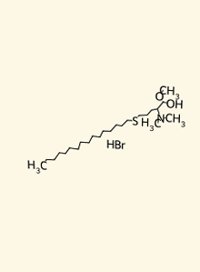 Br.CCCCCCCCCCCCCCCCSCCCC(C(O)OC)N(C)C